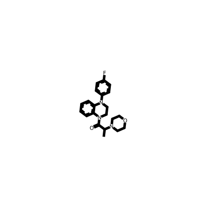 CC(C(=O)N1CCN(c2ccc(F)cc2)c2ccccc21)N1CCOCC1